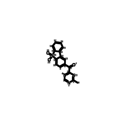 Cc1ncnc(C(=O)c2ccc3c(c2)-c2ccccc2S3(=O)=O)n1